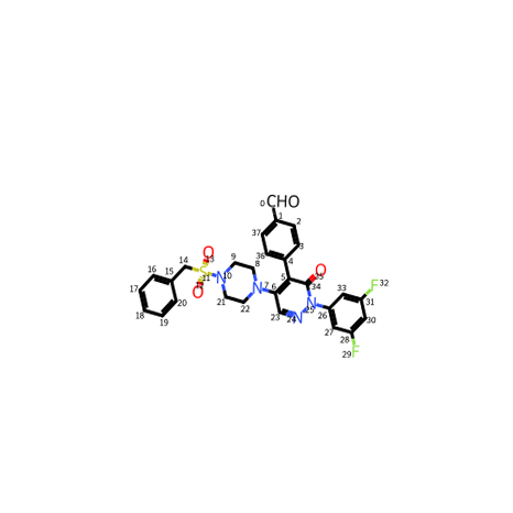 O=Cc1ccc(-c2c(N3CCN(S(=O)(=O)Cc4ccccc4)CC3)cnn(-c3cc(F)cc(F)c3)c2=O)cc1